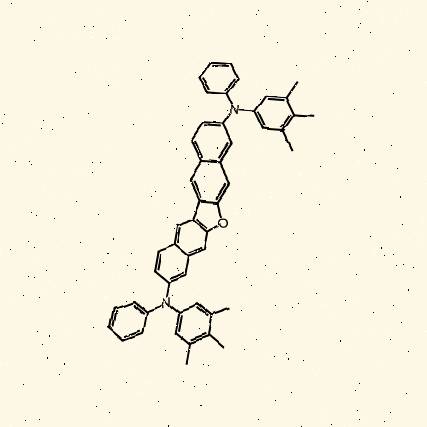 Cc1cc(N(c2ccccc2)c2ccc3cc4c(cc3c2)oc2cc3cc(N(c5ccccc5)c5cc(C)c(C)c(C)c5)ccc3cc24)cc(C)c1C